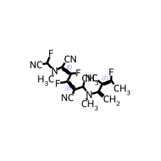 C=C(/C(C#N)=C(\C)F)N(C)C(C)/C(C#N)=C(F)\C(F)=C(\C#N)N(C)C(F)C#N